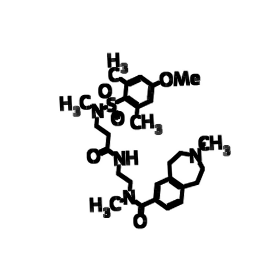 COc1cc(C)c(S(=O)(=O)N(C)CCC(=O)NCCN(C)C(=O)c2ccc3c(c2)CCN(C)CC3)c(C)c1